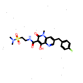 CN(C)S(=O)(=O)CCNC(=O)c1c(O)c2ncc(Cc3ccc(F)cc3)cc2n(C)c1=O